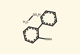 CNc1ccccc1-c1ccccc1.CS(=O)(=O)O